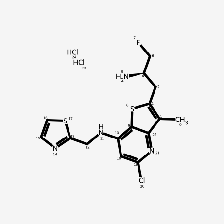 Cc1c(C[C@@H](N)CF)sc2c(NCc3nccs3)cc(Cl)nc12.Cl.Cl